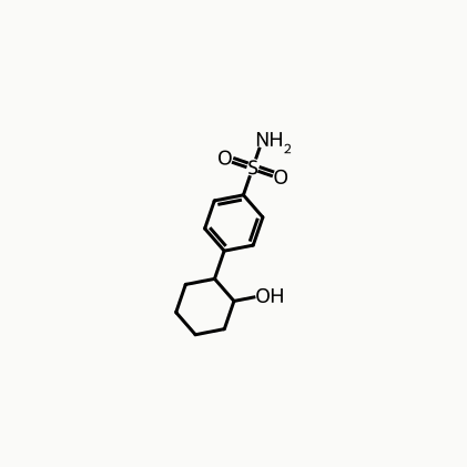 NS(=O)(=O)c1ccc(C2CCCCC2O)cc1